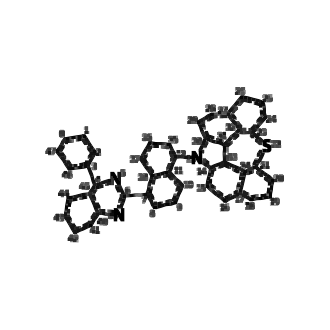 c1ccc(-c2nc(-c3cccc4c(-n5c6ccc7cccc8sc9cccc%10ccc5c(c%109)c6c78)cccc34)nc3ccccc23)cc1